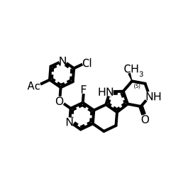 CC(=O)c1cnc(Cl)cc1Oc1ncc2c(c1F)-c1[nH]c3c(c1CC2)C(=O)NC[C@@H]3C